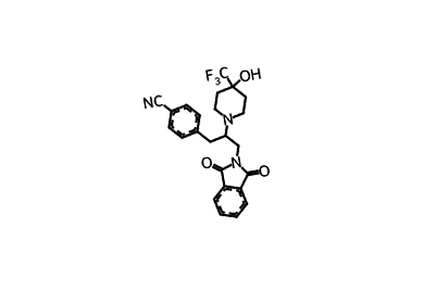 N#Cc1ccc(CC(CN2C(=O)c3ccccc3C2=O)N2CCC(O)(C(F)(F)F)CC2)cc1